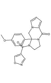 COc1ccc(C23Cn4cccc4C(=O)N2CCN3C(=O)c2cnoc2)cc1